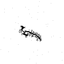 C=CC(=O)N(CC)CC(F)(F)C(F)(F)C(F)(F)C(F)(F)C(F)(F)C(F)(F)F